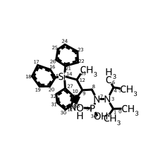 CC(C)N(C(C)C)N(CC(C#N)C(C)[Si](c1ccccc1)(c1ccccc1)c1ccccc1)P(O)O